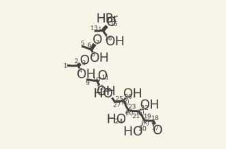 Br.CC(=O)O.CC(=O)O.CC(=O)O.CC(=O)O.O=C[C@H](O)[C@@H](O)[C@H](O)[C@H](O)CO